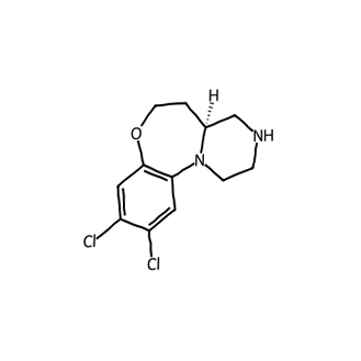 Clc1cc2c(cc1Cl)N1CCNC[C@@H]1CCO2